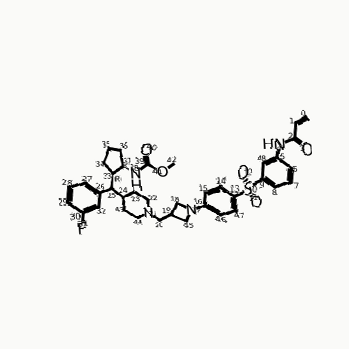 C=CC(=O)Nc1cccc(S(=O)(=O)c2ccc(N3CC(CN4CCC(C(c5cccc(F)c5)[C@H]5CCC[C@@H]5NC(=O)OC)CC4)C3)cc2)c1